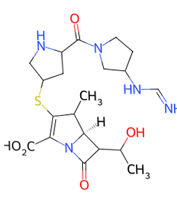 CC(O)C1C(=O)N2C(C(=O)O)=C(SC3CNC(C(=O)N4CCC(NC=N)C4)C3)C(C)[C@@H]12